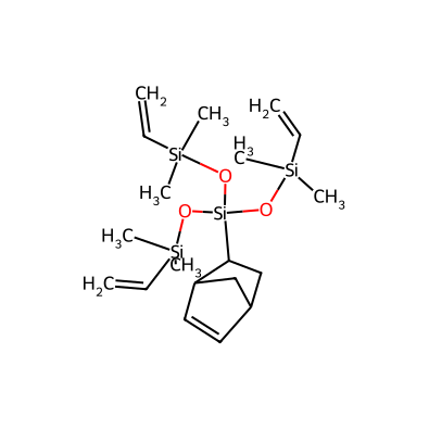 C=C[Si](C)(C)O[Si](O[Si](C)(C)C=C)(O[Si](C)(C)C=C)C1CC2C=CC1C2